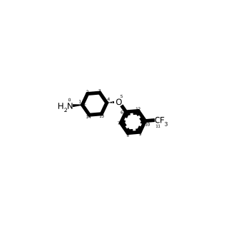 N[C@H]1CC[C@H](Oc2cccc(C(F)(F)F)c2)CC1